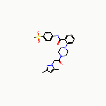 Cc1cc(C)n(CC(=O)N2CCN(c3ccccc3C(=O)Nc3ccc(S(C)(=O)=O)cc3)CC2)n1